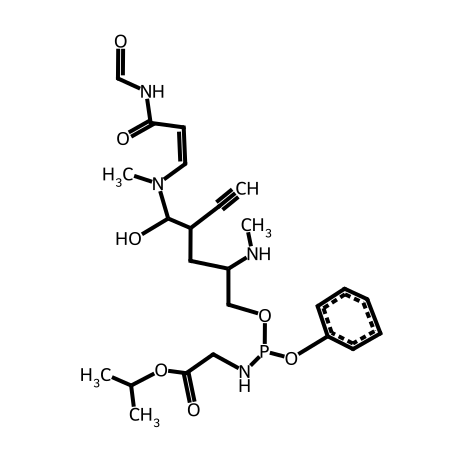 C#CC(CC(COP(NCC(=O)OC(C)C)Oc1ccccc1)NC)C(O)N(C)/C=C\C(=O)NC=O